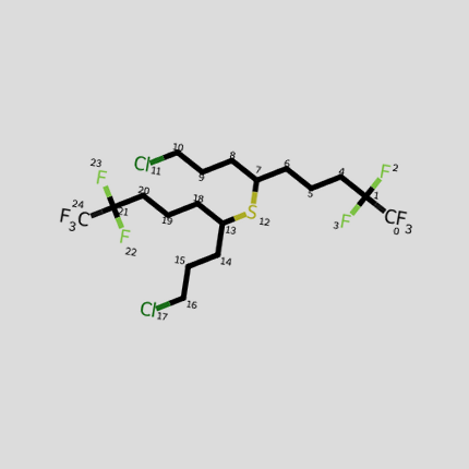 FC(F)(F)C(F)(F)CCCC(CCCCl)SC(CCCCl)CCCC(F)(F)C(F)(F)F